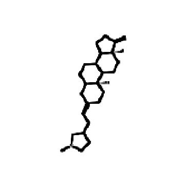 C=C1CCC2C3CCC4C/C(=C/CC5CCN(C)C5)CC[C@]4(C)C3CC[C@]12C